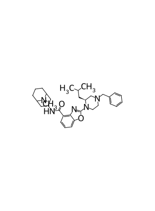 CC(C)C[C@H]1CN(Cc2ccccc2)CCN1c1nc2c(C(=O)NC3CC4CCCC(C3)N4C)cccc2o1